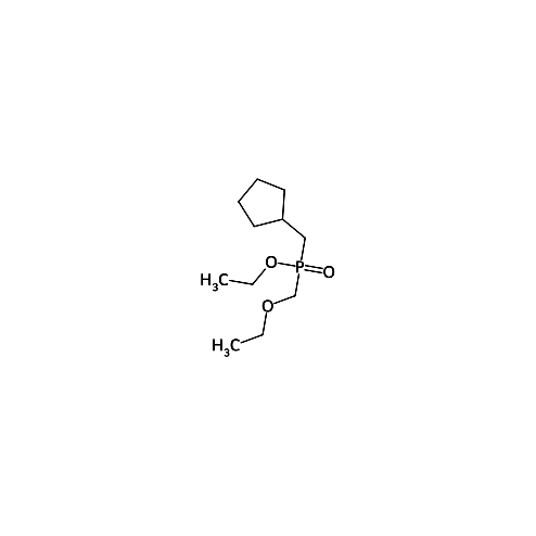 CCOCP(=O)(CC1CCCC1)OCC